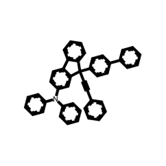 C(#CC1(c2ccc(-c3ccccc3)cc2)c2ccccc2-c2ccc(N(c3ccccc3)c3ccccc3)cc21)c1ccccc1